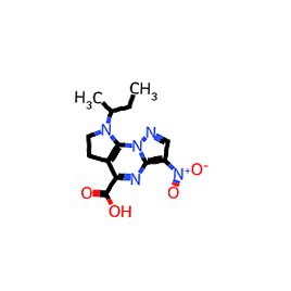 CCC(C)N1CCc2c(C(=O)O)nc3c([N+](=O)[O-])cnn3c21